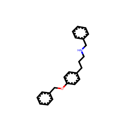 c1ccc(CNCCCc2ccc(OCc3ccccc3)cc2)cc1